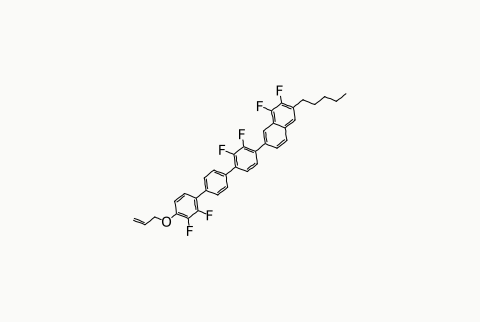 C=CCOc1ccc(-c2ccc(-c3ccc(-c4ccc5cc(CCCCC)c(F)c(F)c5c4)c(F)c3F)cc2)c(F)c1F